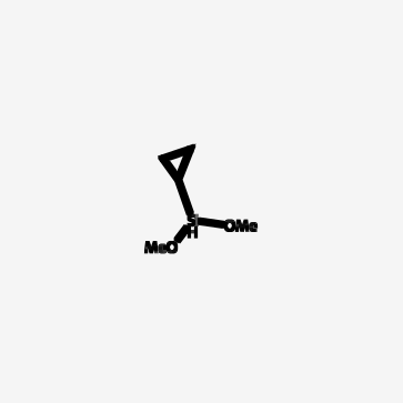 CO[SiH](OC)C1CC1